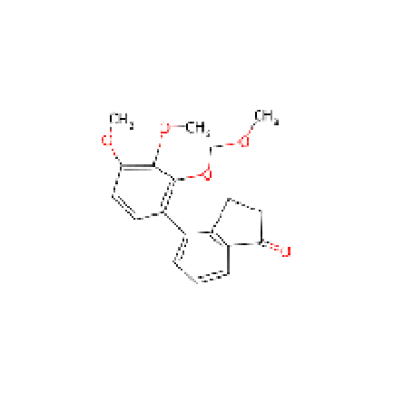 COCOc1c(-c2cccc3c2CCC3=O)ccc(OC)c1OC